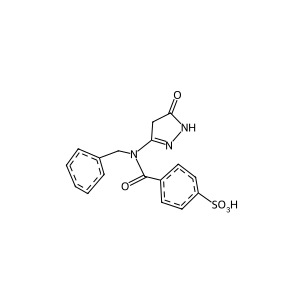 O=C1CC(N(Cc2ccccc2)C(=O)c2ccc(S(=O)(=O)O)cc2)=NN1